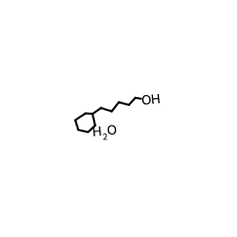 O.OCCCCCC1CCCCC1